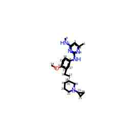 CNc1cc(C)nc(Nc2ccc(OC)c(CC[C@H]3CCCN(C4CC4)C3)c2)n1